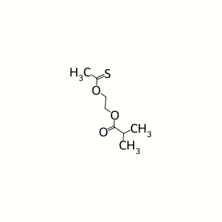 CC(=S)OCCOC(=O)C(C)C